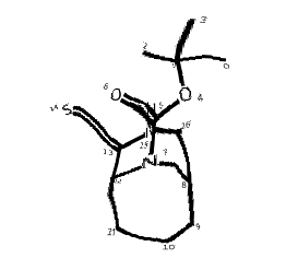 CC(C)(C)OC(=O)N1C2CCCC1C(=S)NC2